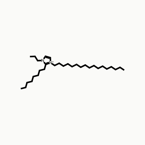 CCCCCCCCCCCCCCCCC[n+]1ccn(CCC)c1CCCCCCCC